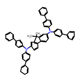 CC1(C)c2cc(N(c3ccc(C4=CCCC=C4)cc3)c3ccc(-c4ccccc4)cc3)ccc2-c2ccc(N(c3ccc(-c4ccccc4)cc3)c3ccc(-c4ccccc4)cc3)cc21